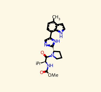 COC(=O)N[C@H](C(=O)N1CCC[C@H]1c1ncc(-c2ccc(C)c3cc[nH]c23)[nH]1)C(C)C